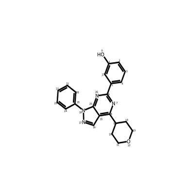 Oc1cccc(-c2nc(C3CCOCC3)c3cnn(-c4ccccc4)c3n2)c1